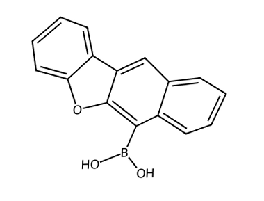 OB(O)c1c2ccccc2cc2c1oc1ccccc12